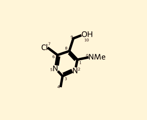 CNc1nc(C)nc(Cl)c1CO